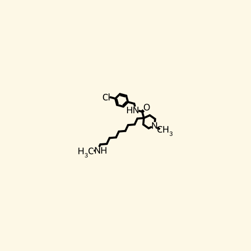 CNCCCCCCCCCC1(C(=O)NCc2ccc(Cl)cc2)CCN(C)CC1